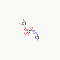 O=C(c1cc(OCCc2ccc(Cl)cc2Cl)c2c(c1)OCO2)N1CCN(Cc2ccncc2)CC1